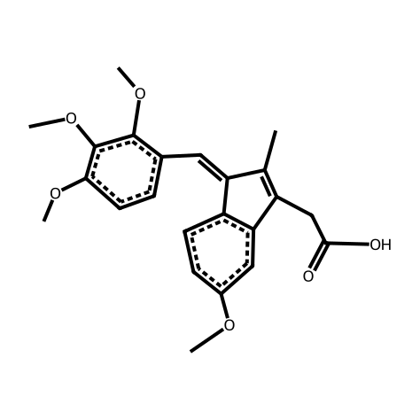 COc1ccc2c(c1)C(CC(=O)O)=C(C)/C2=C/c1ccc(OC)c(OC)c1OC